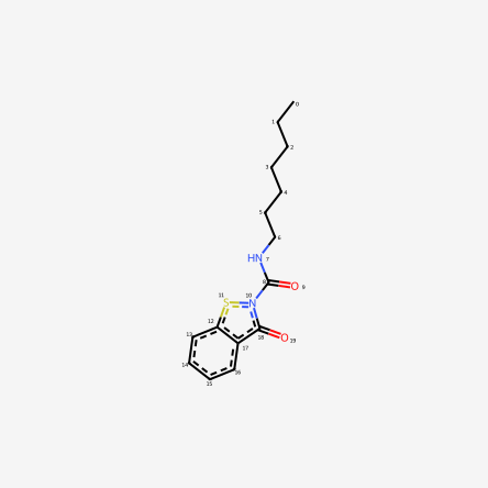 CCCCCCCNC(=O)n1sc2ccccc2c1=O